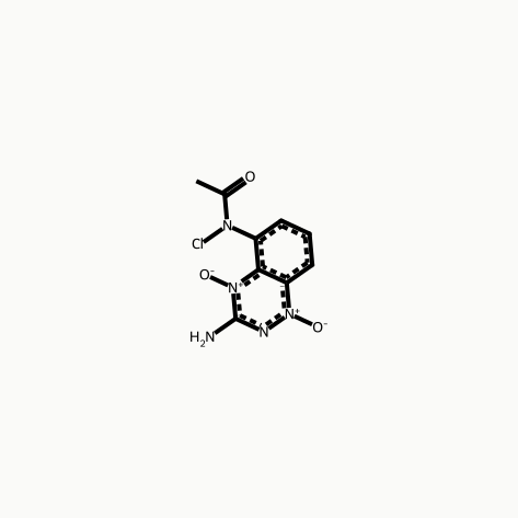 CC(=O)N(Cl)c1cccc2c1[n+]([O-])c(N)n[n+]2[O-]